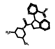 CC1CC(C)CN(C(=O)[C@@H]2Cc3ccccc3N2c2ncccc2[N+](=O)[O-])C1